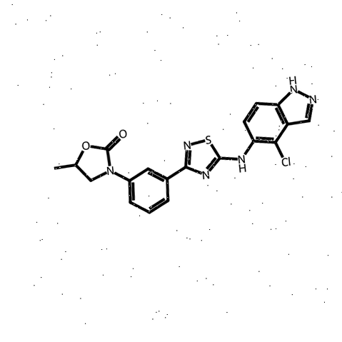 CC1CN(c2cccc(-c3nsc(Nc4ccc5[nH]ncc5c4Cl)n3)c2)C(=O)O1